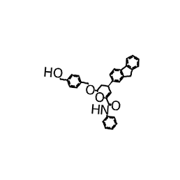 O=C(Nc1ccccc1)C1=C[C@H](c2ccc3c(c2)Cc2ccccc2-3)C[C@H](OCc2ccc(CO)cc2)O1